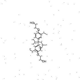 CCc1cc(C(CC(C)C)(c2ccc(OCCO)c(CC)c2)C(C)C)ccc1OCCO